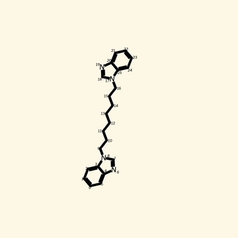 c1ccc2c(c1)ncn2CCCCCCCCn1cnc2ccccc21